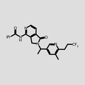 Cc1cc(C(C)N2Cc3c(ccnc3NC(=O)C(C)C)C2=O)cnc1CCC(F)(F)F